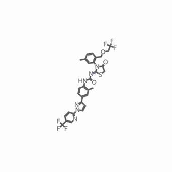 Cc1ccc(COCC(F)(F)F)c(N2C(=O)CS/C2=N\C(=O)Nc2ccc(-c3ccn(-c4ccc(C(F)(F)F)cn4)n3)cc2C)c1